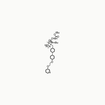 CCCCN(C(=O)ONC(=O)OC(C)(C)C)C(N)(Cc1ccc(-c2ccc(OCCOc3cccnc3)cc2)cc1)C(C)(O)O